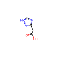 O=C(O)Cc1nc[nH]n1